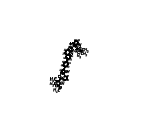 COC(=O)N[C@H](C(=O)N1CCC[C@H]1c1ncc(-c2ccc(-c3ccc4c(ccc5nc([C@@H]6[C@H]7CC[C@@H](C7)N6C(=O)OC(C)(C)C)[nH]c54)c3)cc2)[nH]1)C(C)C